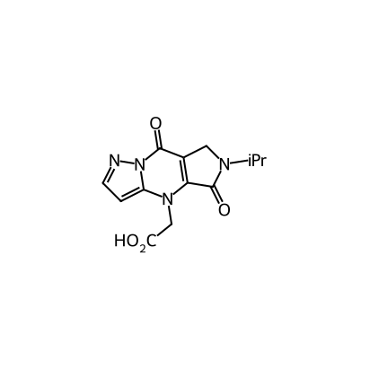 CC(C)N1Cc2c(n(CC(=O)O)c3ccnn3c2=O)C1=O